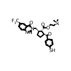 C[Si](C)(C)CCOC(=O)[C@H]1[C@H](Cn2nnc3ccc(C(F)(F)F)cc3c2=O)CC[C@@H]1C(=O)c1ccc(S)cc1